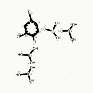 OB(O)O.OB(O)O.OB(O)O.OB(O)O.[Na][c]1ccc(Cl)c(Cl)c1